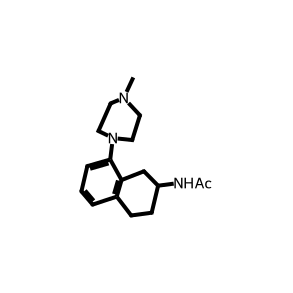 CC(=O)NC1CCc2cccc(N3CCN(C)CC3)c2C1